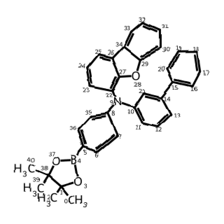 CC1(C)OB(c2ccc(N(c3cccc(-c4ccccc4)c3)c3cccc4c3oc3ccccc34)cc2)OC1(C)C